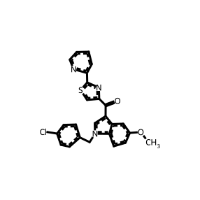 COc1ccc2c(c1)c(C(=O)c1csc(-c3ccccn3)n1)cn2Cc1ccc(Cl)cc1